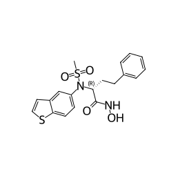 CS(=O)(=O)N(c1ccc2sccc2c1)[C@H](CCc1ccccc1)C(=O)NO